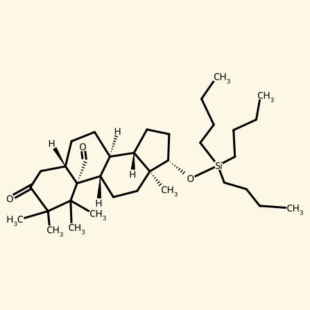 CCCC[Si](CCCC)(CCCC)O[C@H]1CC[C@H]2[C@@H]3CC[C@H]4CC(=O)C(C)(C)C(C)(C)[C@]4(C=O)[C@H]3CC[C@]12C